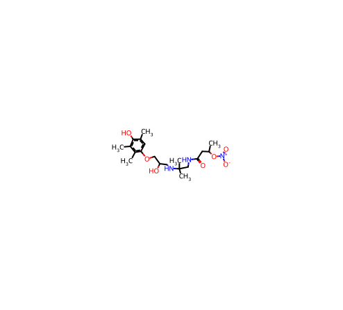 Cc1cc(OCC(O)CNC(C)(C)CNC(=O)CC(C)O[N+](=O)[O-])c(C)c(C)c1O